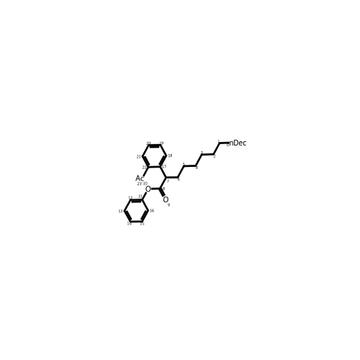 CCCCCCCCCCCCCCCCC(C(=O)Oc1ccccc1)c1ccccc1C(C)=O